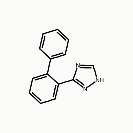 c1ccc(-c2ccccc2-c2nc[nH]n2)cc1